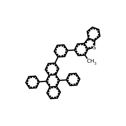 Cc1cc(-c2cccc(-c3ccc4c(-c5ccccc5)c5ccccc5c(-c5ccccc5)c4c3)c2)cc2c1sc1ccccc12